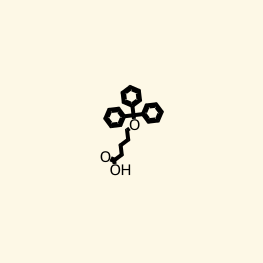 O=C(O)CCCCOC(c1ccccc1)(c1ccccc1)c1ccccc1